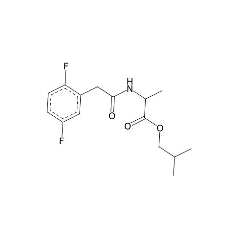 CC(C)COC(=O)C(C)NC(=O)Cc1cc(F)ccc1F